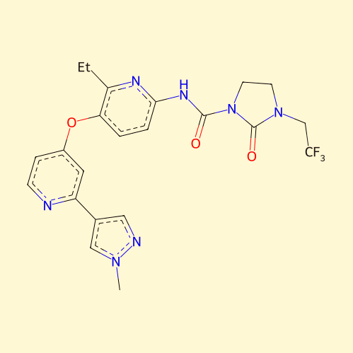 CCc1nc(NC(=O)N2CCN(CC(F)(F)F)C2=O)ccc1Oc1ccnc(-c2cnn(C)c2)c1